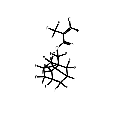 O=C(OC(F)(F)C12C(F)(F)C3(F)C(F)(F)C(F)(C(F)(F)C(F)(C3(F)F)C1(F)F)C2(F)F)C(=C(F)F)C(F)(F)F